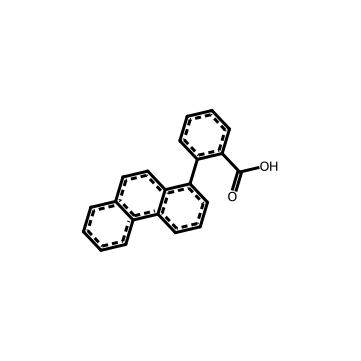 O=C(O)c1ccccc1-c1cccc2c1ccc1ccccc12